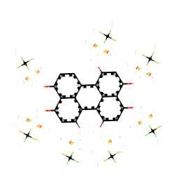 O=S(=O)(Oc1ccc2c3c(OS(=O)(=O)C(F)(F)F)cc(OS(=O)(=O)C(F)(F)F)c4c(OS(=O)(=O)C(F)(F)F)cc(OS(=O)(=O)C(F)(F)F)c(c5c(OS(=O)(=O)C(F)(F)F)cc(OS(=O)(=O)C(F)(F)F)c1c25)c43)C(F)(F)F